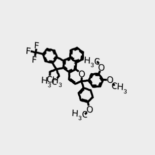 CCC1(CC)c2cc(C(F)(F)F)ccc2-c2c1c1c(c3ccccc23)OC(C2=CC=C(OC)CC2)(c2ccc(OC)c(OC)c2)C=C1